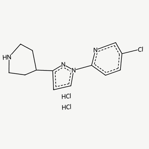 Cl.Cl.Clc1ccc(-n2ccc(C3CCNCC3)n2)nc1